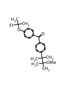 CCC(C)(C)Oc1ccc(C(=O)c2ccc(C(C)(C)C(C)(C)OC)cc2)cc1